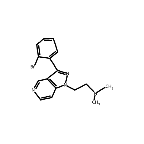 CN(C)CCn1nc(-c2ccccc2Br)c2cnccc21